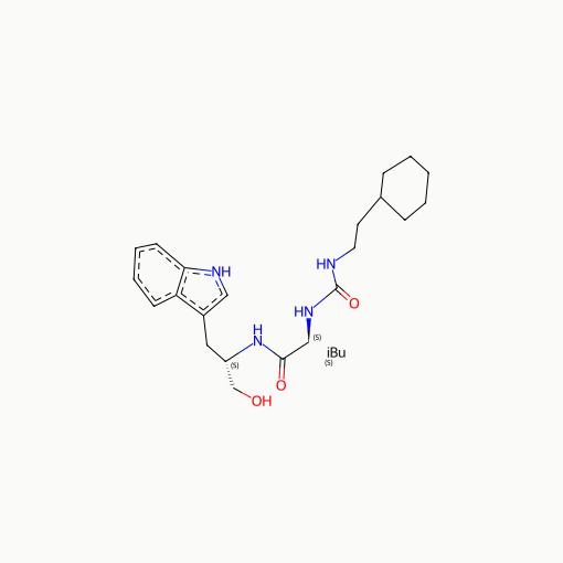 CC[C@H](C)[C@H](NC(=O)NCCC1CCCCC1)C(=O)N[C@H](CO)Cc1c[nH]c2ccccc12